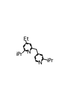 CCc1cc(Cc2ccnc(C(C)C)c2)nc(C(C)C)c1